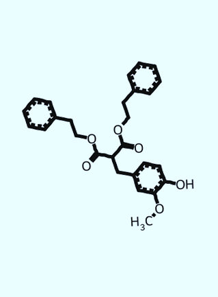 COc1cc(CC(C(=O)OCCc2ccccc2)C(=O)OCCc2ccccc2)ccc1O